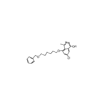 Cc1nnc(O)c2cc(Cl)cc(OCCCCCCOCc3ccccc3)c12